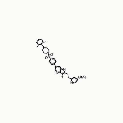 COc1ccnc(CCc2nc3cc(-c4ccc(S(=O)(=O)N5CCN(c6c(C)cccc6C)CC5)cc4)cnc3[nH]2)c1